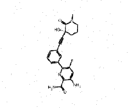 CN1CCC[C@@](O)(C#Cc2cccc(-c3nc(C(N)=O)c(N)cc3F)c2)C1=O